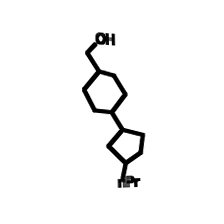 CCCC1CCC(C2CCC(CO)CC2)C1